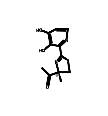 CC(=O)[C@@]1(C)CSC(c2nccc(O)c2O)=N1